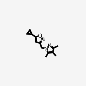 Cc1nn(Cc2cc(C3CC3)on2)c(C)c1C